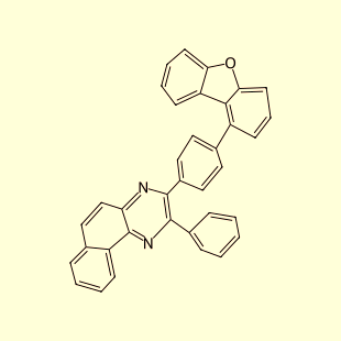 c1ccc(-c2nc3c(ccc4ccccc43)nc2-c2ccc(-c3cccc4oc5ccccc5c34)cc2)cc1